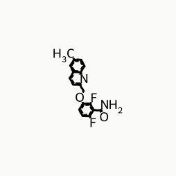 Cc1ccc2nc(COc3ccc(F)c(C(N)=O)c3F)ccc2c1